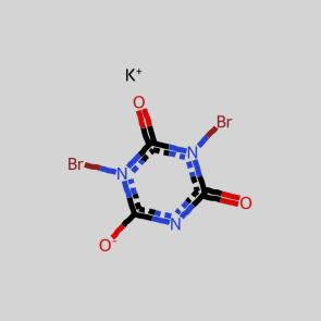 O=c1nc([O-])n(Br)c(=O)n1Br.[K+]